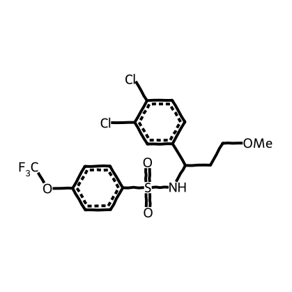 COCCC(NS(=O)(=O)c1ccc(OC(F)(F)F)cc1)c1ccc(Cl)c(Cl)c1